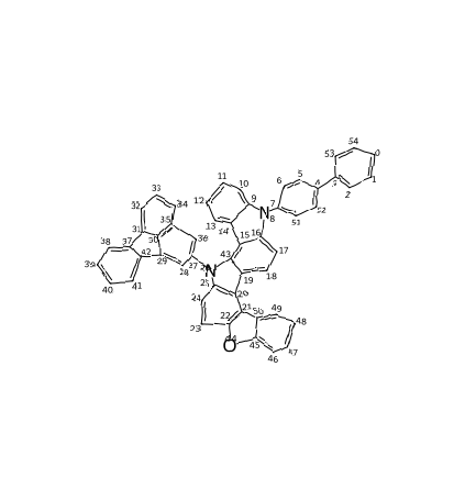 c1ccc(-c2ccc(-n3c4ccccc4c4c3ccc3c5c6c(ccc5n(-c5cc7c8c(cccc8c5)-c5ccccc5-7)c34)oc3ccccc36)cc2)cc1